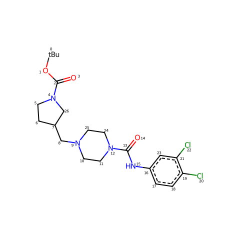 CC(C)(C)OC(=O)N1CCC(CN2CCN(C(=O)Nc3ccc(Cl)c(Cl)c3)CC2)C1